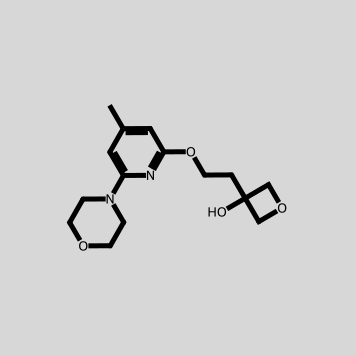 Cc1cc(OCCC2(O)COC2)nc(N2CCOCC2)c1